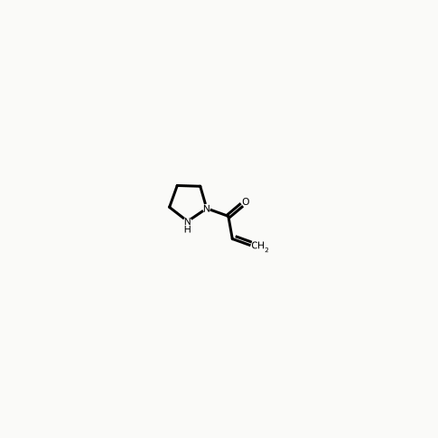 C=CC(=O)N1CCCN1